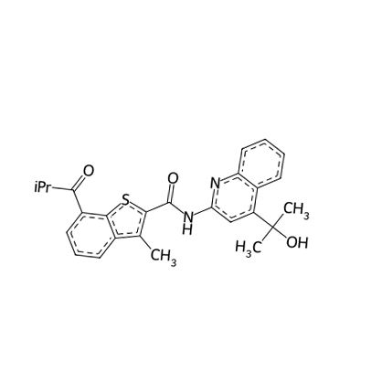 Cc1c(C(=O)Nc2cc(C(C)(C)O)c3ccccc3n2)sc2c(C(=O)C(C)C)cccc12